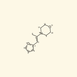 CC(=Cc1ccco1)N1CCOCC1